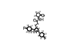 O=C(CCc1cc(-c2ccc(F)cc2)[nH]c1-c1ccc(F)cc1)NC1CCCC1=O